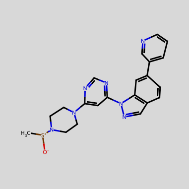 C[S+]([O-])N1CCN(c2cc(-n3ncc4ccc(-c5cccnc5)cc43)ncn2)CC1